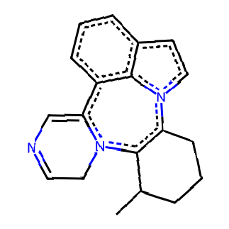 CC1CCCc2c1n1c(c3cccc4ccn2c43)=CN=CC1